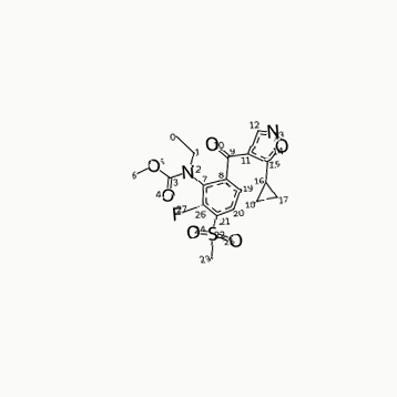 CCN(C(=O)OC)c1c(C(=O)c2cnoc2C2CC2)ccc(S(C)(=O)=O)c1F